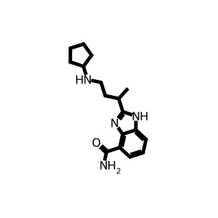 CC(CCNC1CCCC1)c1nc2c(C(N)=O)cccc2[nH]1